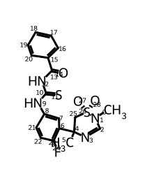 CN1C=NC(C)(c2cc(NC(=S)NC(=O)c3ccccc3)ccc2F)CS1(=O)=O